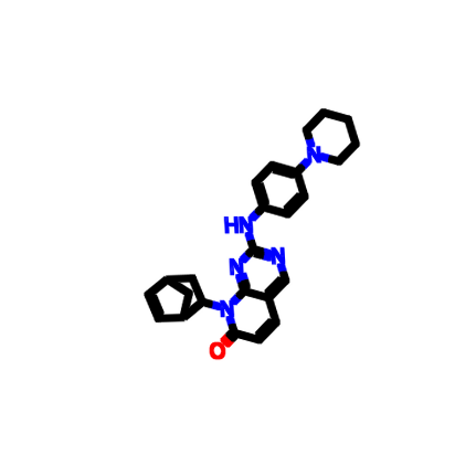 O=c1ccc2cnc(Nc3ccc(N4CCCCC4)cc3)nc2n1C1CC2C=CC1C2